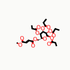 CCC(=O)OC1O[C@H](COC(=O)/C=C/C(=O)OC)[C@H](OC(=O)CC)[C@H](OC(=O)CC)[C@H]1OC(=O)CC